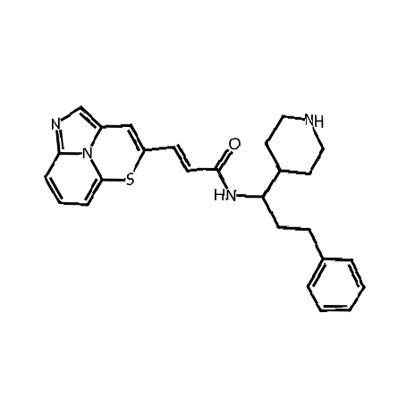 O=C(C=CC1=Cc2cnc3cccc(n23)S1)NC(CCc1ccccc1)C1CCNCC1